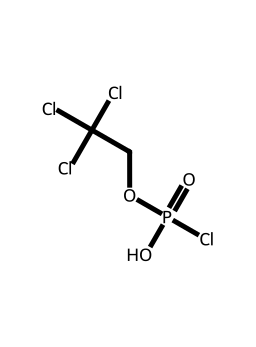 O=P(O)(Cl)OCC(Cl)(Cl)Cl